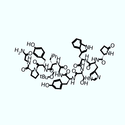 CC(C)C[C@H](NC(=O)[C@@H](COC(C)(C)C)NC(=O)[C@H](Cc1ccc(O)cc1)NC(=O)[C@H](CO)NC(=O)[C@H](Cc1c[nH]c2ccccc12)NC(=O)[C@H](Cc1c[nH]cn1)NC(=O)[C@@H]1CCC(=O)N1)C(=O)N[C@@H](Cc1ccc(O)cc1)C(=O)N1CCC[C@H]1C(=O)NCC(N)=O